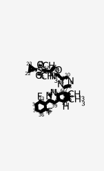 CC1(C)[C@H]2CC[C@]1(c1cncc(-c3nc(C(C)(C)S(=O)(=O)C4CC4)co3)n1)c1nnc(-c3c(F)cccc3F)cc12